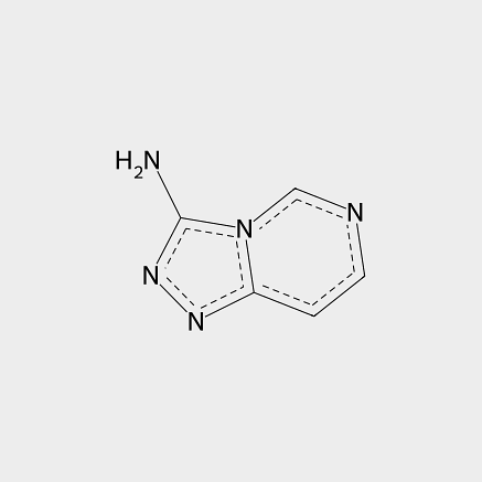 Nc1nnc2ccncn12